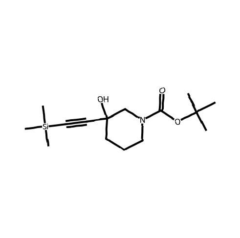 CC(C)(C)OC(=O)N1CCCC(O)(C#C[Si](C)(C)C)C1